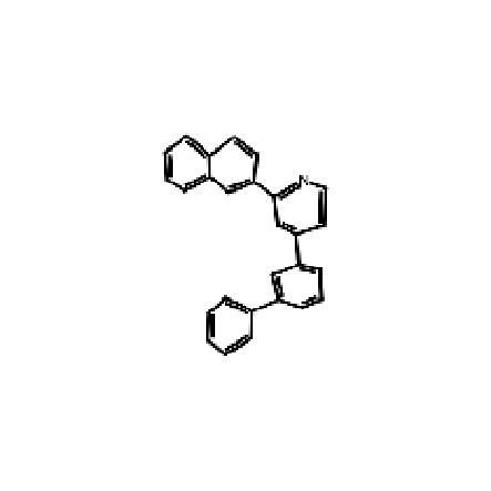 c1ccc(-c2cccc(-c3ccnc(-c4ccc5ccccc5c4)c3)c2)cc1